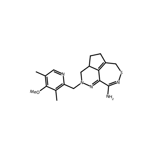 COc1c(C)cnc(CN2CC3CCC4=C3C(=N2)C(N)=NSC4)c1C